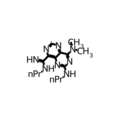 CCCNC(=N)c1n[c]nc2c(N(C)C)nc(NCCC)nc12